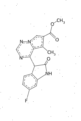 COC(=O)c1cn2ncnc(C3C(=O)Nc4cc(F)ccc43)c2c1C